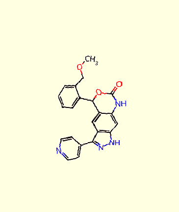 COCc1ccccc1C1OC(=O)Nc2cc3[nH]nc(-c4ccncc4)c3cc21